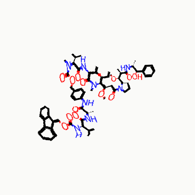 CC[C@H](C)[C@@H]([C@@H](CC(=O)N1CCC[C@H]1[C@H](OC)[C@@H](C)C(=O)N[C@H](C)[C@@H](O)c1ccccc1)OC)N(C)C(=O)[C@@H](NC(=O)[C@H](C(C)C)N(C)C(=O)OCc1ccc(NC(=O)[C@H](C)NC(=O)[C@@H](NC(=O)OCC2c3ccccc3-c3ccccc32)C(C)C)cc1)C(C)C